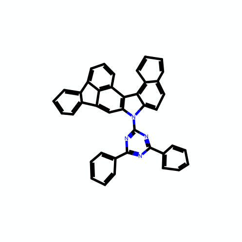 c1ccc(-c2nc(-c3ccccc3)nc(-n3c4ccc5ccccc5c4c4c5cccc6c5c(cc43)-c3ccccc3-6)n2)cc1